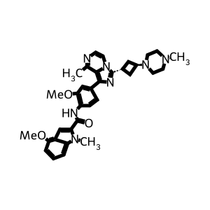 COc1cc(-c2nc([C@H]3C[C@H](N4CCN(C)CC4)C3)n3ccnc(C)c23)ccc1NC(=O)c1cc2c(OC)cccc2n1C